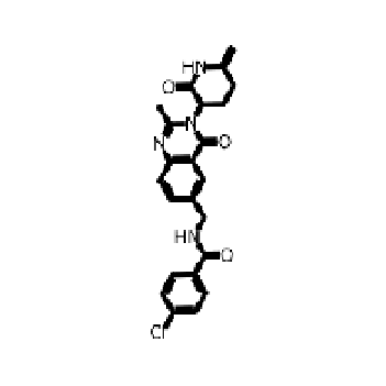 C=C1CCC(n2c(C)nc3ccc(CNC(=O)c4ccc(Cl)cc4)cc3c2=O)C(=O)N1